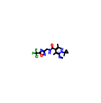 C=N/C(NC1(C)CC1)=C(\C)C(C(=O)NCc1noc(C(F)(F)Cl)n1)=C(C)C